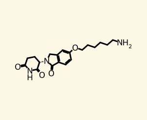 NCCCCCCOc1ccc2c(c1)CN([C@H]1CCC(=O)NC1=O)C2=O